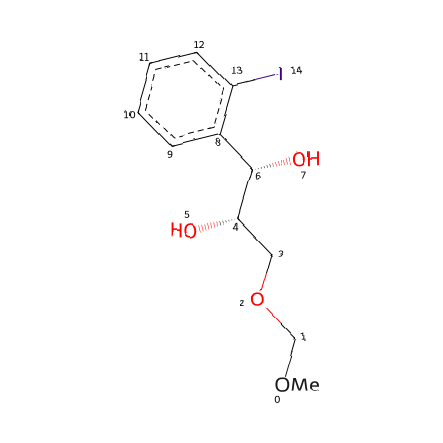 COCOC[C@H](O)[C@@H](O)c1ccccc1I